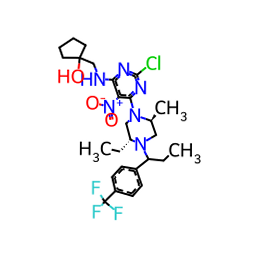 CCC(c1ccc(C(F)(F)F)cc1)N1C[C@H](C)N(c2nc(Cl)nc(NCC3(O)CCCC3)c2[N+](=O)[O-])C[C@H]1CC